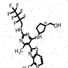 Cc1nc(NCC(F)(F)C(F)(F)C(F)(F)F)nc(N[C@H]2CC[C@@H](CO)C2)c1-c1nc2c(C)nccc2s1